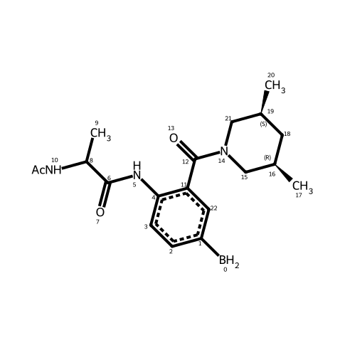 Bc1ccc(NC(=O)C(C)NC(C)=O)c(C(=O)N2C[C@H](C)C[C@H](C)C2)c1